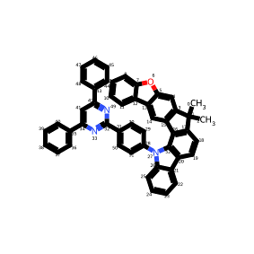 CC1(C)c2cc3oc4ccccc4c3cc2-c2c1ccc1c3ccccc3n(-c3ccc(-c4nc(-c5ccccc5)cc(-c5ccccc5)n4)cc3)c21